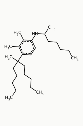 CCCCCC(C)Nc1ccc(C(C)(CCCCC)CCCCC)c(C)c1C